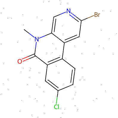 Cn1c(=O)c2cc(Cl)ccc2c2cc(Br)ncc21